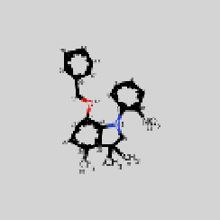 CC1(C)CN(c2ccccc2[N+](=O)[O-])c2c(OCc3ccccc3)ccc(C(F)(F)F)c21